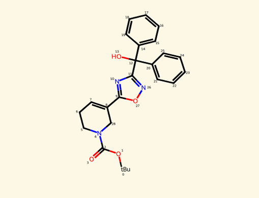 CC(C)(C)OC(=O)N1CCC=C(c2nc(C(O)(c3ccccc3)c3ccccc3)no2)C1